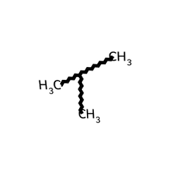 CCCCCCCCCCCC(CCCCCCC)CCCCCCCCCCC